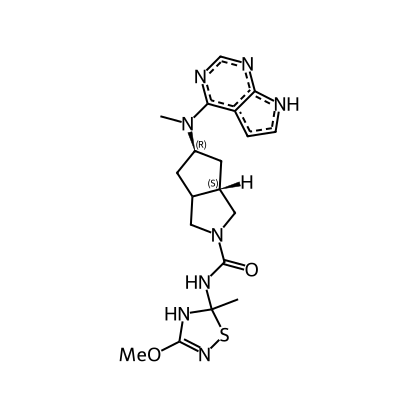 COC1=NSC(C)(NC(=O)N2CC3C[C@@H](N(C)c4ncnc5[nH]ccc45)C[C@@H]3C2)N1